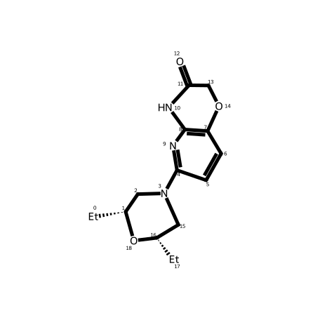 CC[C@@H]1CN(c2ccc3c(n2)NC(=O)CO3)C[C@H](CC)O1